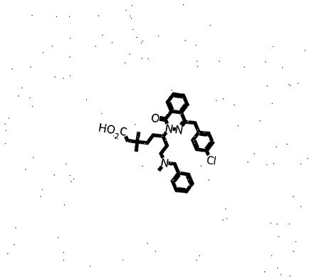 CN(CCC(CCC(C)(C)CC(=O)O)n1nc(Cc2ccc(Cl)cc2)c2ccccc2c1=O)Cc1ccccc1